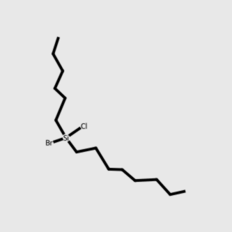 CCCCCCCC[Si](Cl)(Br)CCCCCC